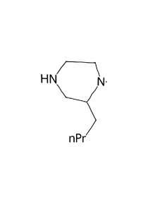 CCCCC1CNCC[N]1